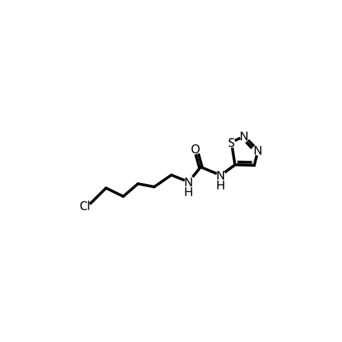 O=C(NCCCCCCl)Nc1cnns1